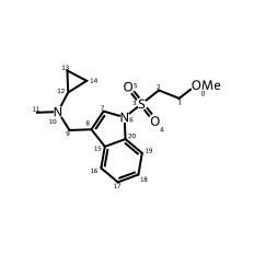 COCCS(=O)(=O)n1cc(CN(C)C2CC2)c2ccccc21